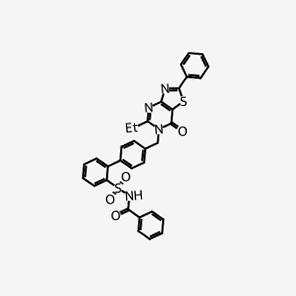 CCc1nc2nc(-c3ccccc3)sc2c(=O)n1Cc1ccc(-c2ccccc2S(=O)(=O)NC(=O)c2ccccc2)cc1